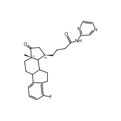 C[C@]12CCC3c4cccc(F)c4CCC3C1[C@H](CCCC(=O)Nc1cnccn1)CC2=O